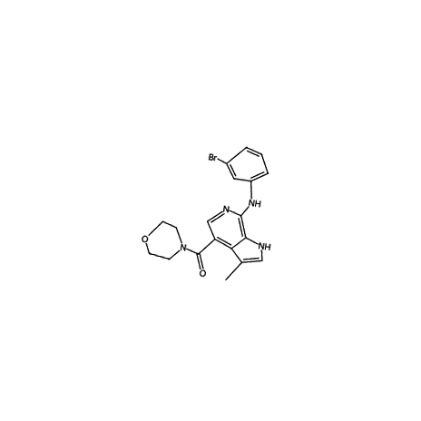 Cc1c[nH]c2c(Nc3cccc(Br)c3)ncc(C(=O)N3CCOCC3)c12